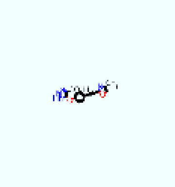 O=C(O)c1nn[nH]c1Oc1ccc(C#Cc2nc(C(F)(F)F)co2)cc1